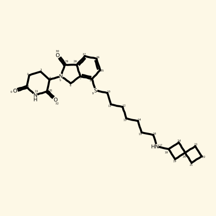 O=C1CCC(N2Cc3c(SCCCCCCCNC4CC5(CCC5)C4)cccc3C2=O)C(=O)N1